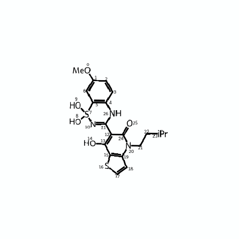 COc1ccc2c(c1)S(O)(O)N=C(c1c(O)c3sccc3n(CCC(C)C)c1=O)N2